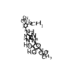 COc1cc(CNc2ncnc3c2ncn3C2OC(COC(C)=O)C(O)C2O)ccc1OC(C)=O